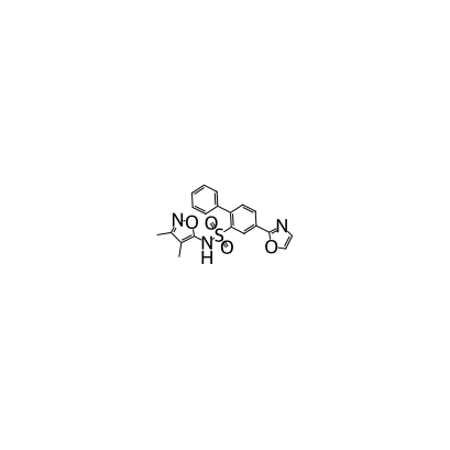 Cc1noc(NS(=O)(=O)c2cc(-c3ncco3)ccc2-c2ccccc2)c1C